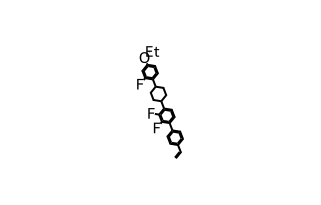 C=Cc1ccc(-c2ccc(C3CCC(c4ccc(OCC)cc4F)CC3)c(F)c2F)cc1